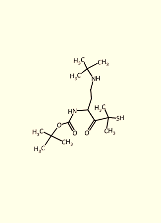 CC(C)(C)NCCC(NC(=O)OC(C)(C)C)C(=O)C(C)(C)S